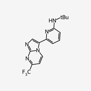 CC(C)(C)Nc1cccc(-c2cnc3nc(C(F)(F)F)ccn23)n1